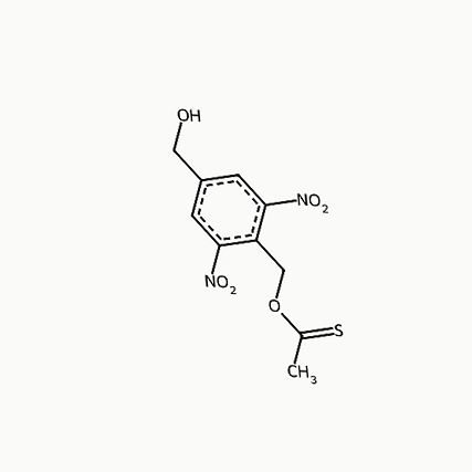 CC(=S)OCc1c([N+](=O)[O-])cc(CO)cc1[N+](=O)[O-]